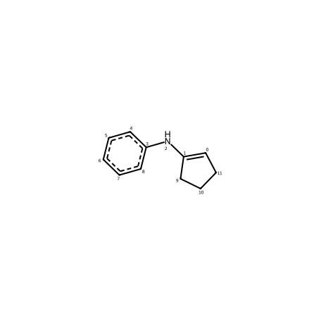 C1=C(Nc2ccccc2)CCC1